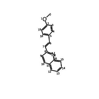 COc1ccc(C=Cc2ccc3ccccc3n2)cc1